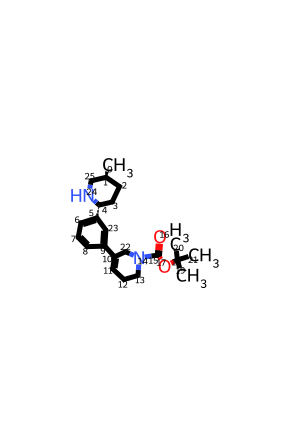 C[C@H]1CC[C@H](c2cccc(C3=CCCN(C(=O)OC(C)(C)C)C3)c2)NC1